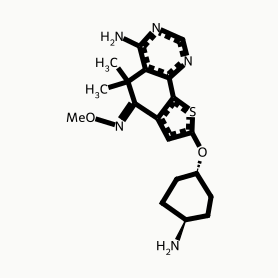 CON=C1c2cc(O[C@H]3CC[C@H](N)CC3)sc2-c2ncnc(N)c2C1(C)C